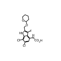 O=C(O)Nc1cc(Cl)c(Cl)c2[nH]c(COC3CCCCO3)c(I)c12